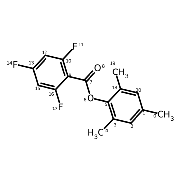 Cc1cc(C)c(OC(=O)c2c(F)cc(F)cc2F)c(C)c1